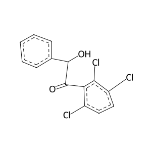 O=C(c1c(Cl)ccc(Cl)c1Cl)C(O)c1ccccc1